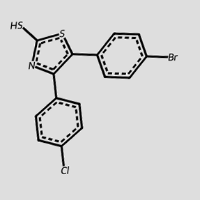 Sc1nc(-c2ccc(Cl)cc2)c(-c2ccc(Br)cc2)s1